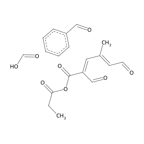 CCC(=O)OC(=O)C(C=O)=CC(C)=CC=O.O=CO.O=Cc1ccccc1